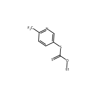 CCOC(=S)Sc1ccc(C(F)(F)F)nc1